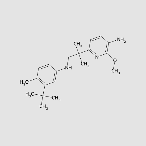 COc1nc(C(C)(C)CNc2ccc(C)c(C(C)(C)C)c2)ccc1N